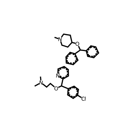 CN(C)CCOC(c1ccc(Cl)cc1)c1ccccn1.CN1CCC(OC(c2ccccc2)c2ccccc2)CC1